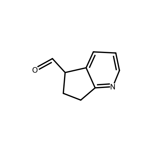 O=CC1CCc2ncccc21